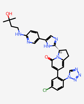 CC(C)(O)CCNc1ccc(-c2cnc([C@@H]3CCc4cc(-c5cc(Cl)ccc5-n5cnnn5)cc(=O)n43)[nH]2)cn1